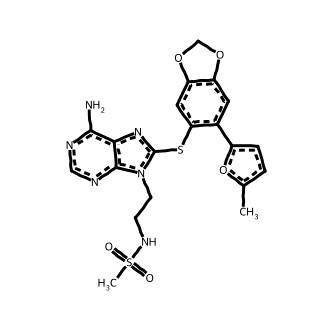 Cc1ccc(-c2cc3c(cc2Sc2nc4c(N)ncnc4n2CCNS(C)(=O)=O)OCO3)o1